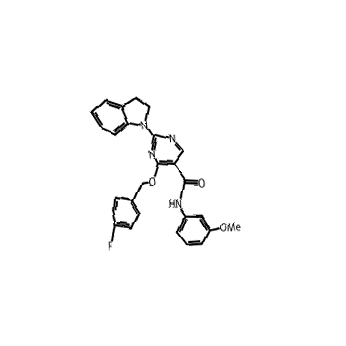 COc1cccc(NC(=O)c2cnc(N3CCc4ccccc43)nc2OCc2ccc(F)cc2)c1